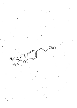 CC(C)(C)[Si](C)(C)Oc1ccc(CCC=O)cc1